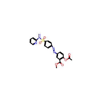 COC(=O)c1cc(N=Nc2ccc(S(=O)(=O)Nc3ccccn3)cc2)ccc1OC(C)=O